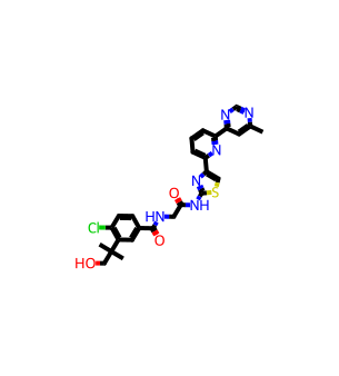 Cc1cc(-c2cccc(-c3csc(NC(=O)CNC(=O)c4ccc(Cl)c(C(C)(C)CO)c4)n3)n2)ncn1